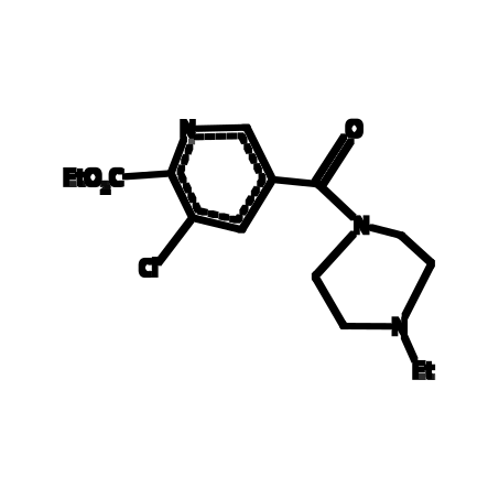 CCOC(=O)c1ncc(C(=O)N2CCN(CC)CC2)cc1Cl